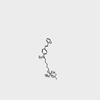 CCN(CCCCCO[Si](C)(C)C(C)(C)C)c1ccc(C=Cc2ccco2)cc1